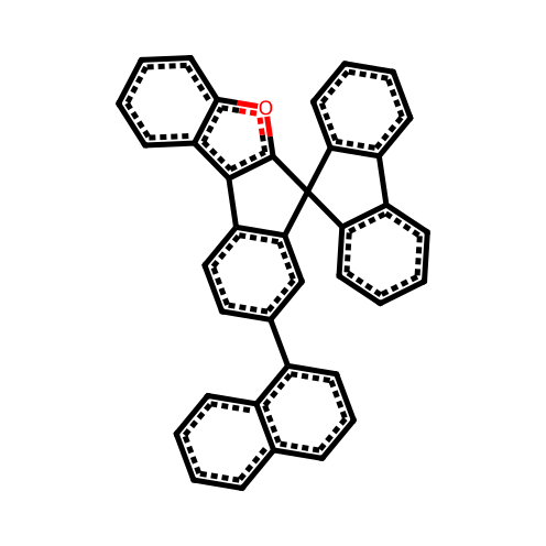 c1ccc2c(c1)-c1ccccc1C21c2cc(-c3cccc4ccccc34)ccc2-c2c1oc1ccccc21